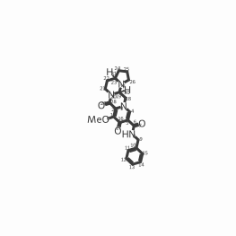 COc1c2n(cc(C(=O)NCc3ccccc3)c1=O)C[C@@H]1N(CC[C@@H]3CCCN31)C2=O